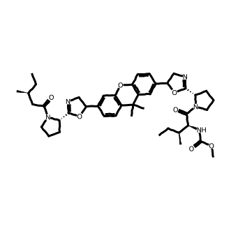 CC[C@H](C)CC(=O)N1CCC[C@H]1C1=NCC(c2ccc3c(c2)Oc2ccc(C4CN=C([C@@H]5CCCN5C(=O)[C@@H](NC(=O)OC)[C@@H](C)CC)O4)cc2C3(C)C)O1